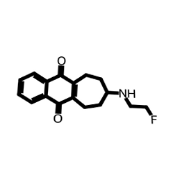 O=C1C2=C(CCC(NCCF)CC2)C(=O)c2ccccc21